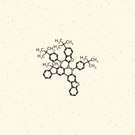 CC(C)(C)c1ccc(N2B3c4oc5ccc(C(C)(C)C)cc5c4N(c4ccc(C(C)(C)C)cc4)c4c3c(cc3c4C(C)(C)c4ccccc4-3)-c3cc4c(cc32)sc2ccccc24)cc1